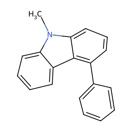 Cn1c2ccccc2c2c(-c3ccccc3)cccc21